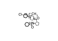 CC1(C)CN(C(=O)[C@H]2CCC[C@H]2NC(=O)c2ccccc2)CCN1c1ccc(Cl)cc1